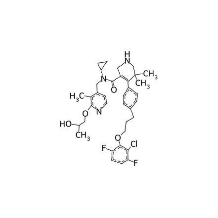 Cc1c(CN(C(=O)C2=C(c3ccc(CCCOc4c(F)ccc(F)c4Cl)cc3)C(C)(C)CNC2)C2CC2)ccnc1OCC(C)O